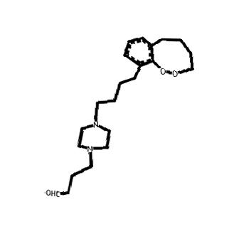 O=[C]CCCN1CCN(CCCCc2cccc3c2OOCCCC3)CC1